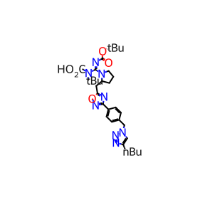 CCCCc1cn(Cc2ccc(-c3noc(CC4CCCN4C(=NC(=O)OC(C)(C)C)N(C(=O)O)C(C)(C)C)n3)cc2)nn1